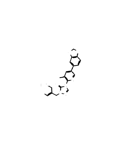 Cc1cc(-c2ccc3c(c2)OCO3)cnc1-n1cnn(C/C(=C/F)CN)c1=O